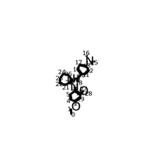 CCOc1ccc(-n2cc(-c3ccc(N(C)C)cc3)[n+]3c2CCCCC3)c(OC)c1